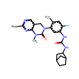 CNc1ncc2c(n1)N(C)C(=O)N(c1cc(NC(=O)NC3CC4CCC3C4)c(F)cc1C)C2